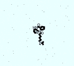 CC(C)N(C)CCCCCC(=O)N1c2ccccc2C(=O)Nc2cccnc21